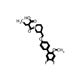 CCC(C(=O)O)C(=O)N1CCCC(COc2ccc(-c3cc(F)c(F)cc3OC)cc2)C1